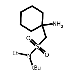 CCN(C(C)(C)C)S(=O)(=O)CC1(N)CCCCC1